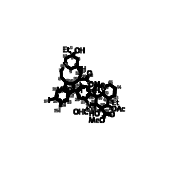 CC[C@]1(O)C[C@H]2CN(CCc3c([nH]c4cc(I)c(I)cc34)[C@@](C(=O)OC)(c3cc4c(cc3OC)N(C=O)[C@H]3[C@@](O)(C(=O)OC)[C@H](OC(C)=O)[C@]5(CC)C=CCN6CC[C@]43[C@@H]65)C2)C1